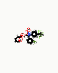 O=C1O[C@@H](COC2CCCCO2)[C@H](c2cccc(F)c2)N1c1ccc(C(F)(F)F)cc1